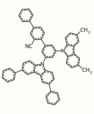 Cc1ccc2c(c1)c1cc(C)ccc1n2-c1cc(-c2ccc(-c3ccccc3)cc2C#N)cc(-n2c3ccc(-c4ccccc4)cc3c3cc(-c4ccccc4)ccc32)c1